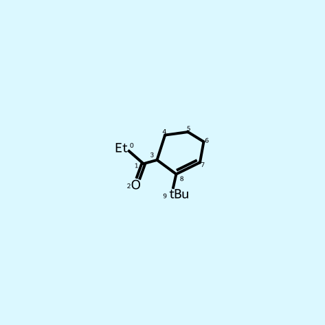 CCC(=O)C1CCCC=C1C(C)(C)C